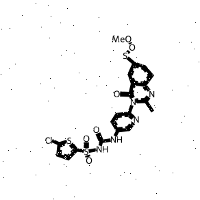 COOSc1ccc2nc(C)n(-c3ccc(NC(=O)NS(=O)(=O)c4ccc(Cl)s4)cn3)c(=O)c2c1